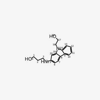 OCCCNc1ccc2c3ccccc3n(CCO)c2c1